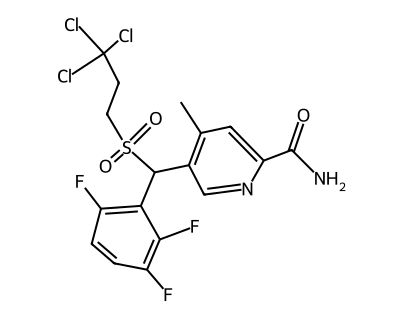 Cc1cc(C(N)=O)ncc1C(c1c(F)ccc(F)c1F)S(=O)(=O)CCC(Cl)(Cl)Cl